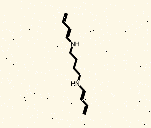 C=C/C=C/NCCCCN/C=C/C=C